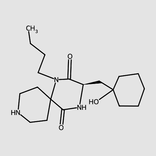 CCCCN1C(=O)[C@@H](CC2(O)CCCCC2)NC(=O)C12CCNCC2